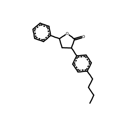 CCCCc1ccc(C2CC(c3ccccc3)OC2=O)cc1